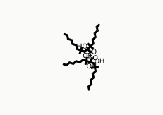 CCCCCCCC(C)(C)C(O)C(O)(C(=O)OC(=O)C(O)(C(O)C(C)(C)CCCCCCC)C(C)(C)CCCCCCC)C(C)(C)CCCCCCC